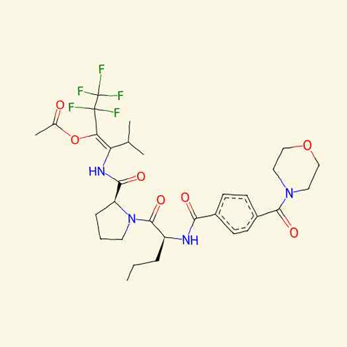 CCC[C@H](NC(=O)c1ccc(C(=O)N2CCOCC2)cc1)C(=O)N1CCC[C@H]1C(=O)N/C(=C(\OC(C)=O)C(F)(F)C(F)(F)F)C(C)C